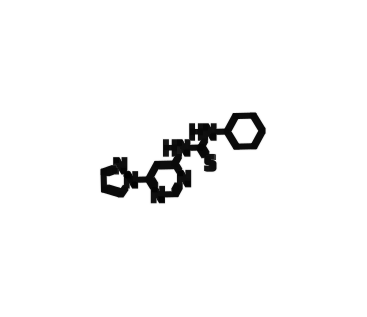 S=C(Nc1cc(-n2cccn2)ncn1)NC1CCCCC1